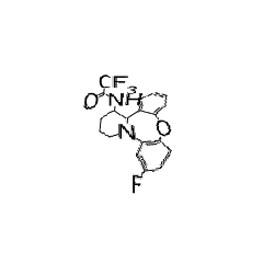 O=C(NC1CCCN2c3cc(F)ccc3Oc3ccccc3C12)C(F)(F)F